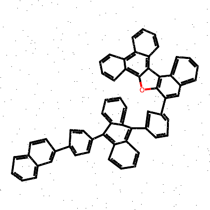 c1cc(-c2c3ccccc3c(-c3ccc(-c4ccc5ccccc5c4)cc3)c3ccccc23)cc(-c2cc3ccccc3c3c2oc2c4ccccc4c4ccccc4c23)c1